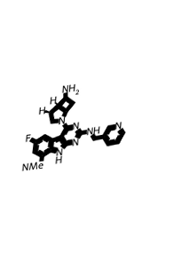 CNc1cc(F)cc2c1[nH]c1nc(NCc3cccnc3)nc(N3C[C@H]4[C@@H]5C3CC45N)c12